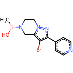 CB(O)N1CCn2nc(-c3ccncc3)c(Br)c2C1